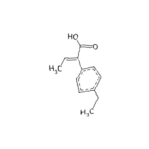 C/C=C(/C(=O)O)c1ccc(CC)cc1